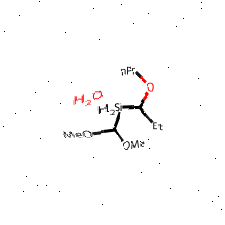 CCCOC(CC)[SiH2]C(OC)OC.O